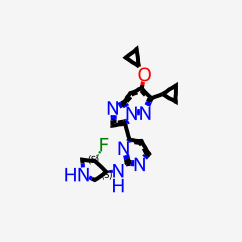 F[C@H]1CNC[C@@H]1Nc1nccc(-c2cnc3cc(OC4CC4)c(C4CC4)nn23)n1